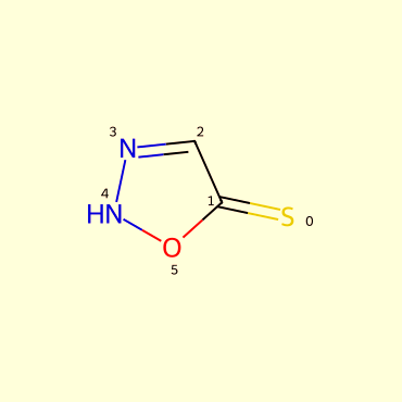 S=c1cn[nH]o1